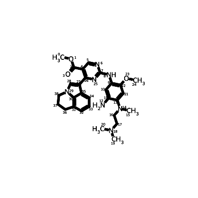 COC(=O)c1cnc(Nc2cc(N)c(N(C)CCN(C)C)cc2OC)nc1-c1cn2c3c(cccc13)CCC2